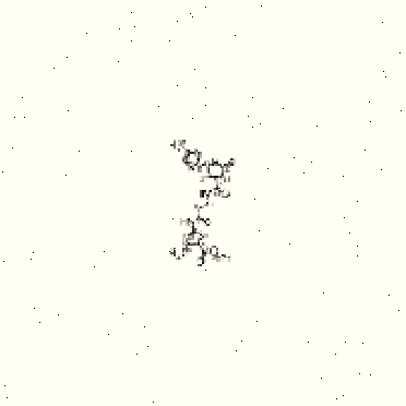 CCCOC(=O)c1sc(NC(=O)CCNC(=O)c2cc(Cl)cc(-c3noc(C)n3)c2)nc1C